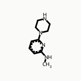 CNc1cccc(N2CCNCC2)n1